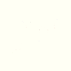 Cc1cc(OCCC2NCCc3cc(OC(=O)N(C)C)ccc32)ccc1Cl.NC(=O)C(F)(F)F